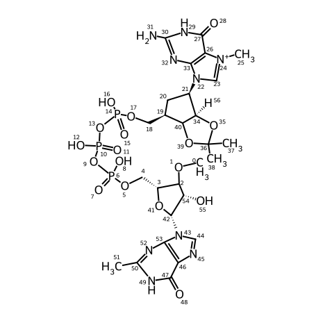 COC1[C@@H](COP(=O)(O)OP(=O)(O)OP(=O)(O)OC[C@H]2C[C@@H](n3c[n+](C)c4c(=O)[nH]c(N)nc43)[C@H]3OC(C)(C)OC23)O[C@@H](n2cnc3c(=O)[nH]c(C)nc32)[C@H]1O